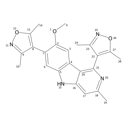 COc1cc2c(cc1-c1c(C)noc1C)[nH]c1cc(C)nc(-c3c(C)noc3C)c12